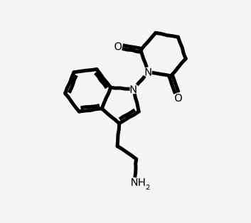 NCCc1cn(N2C(=O)CCCC2=O)c2ccccc12